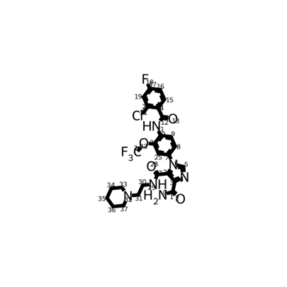 NC(=O)c1ncn(-c2ccc(NC(=O)c3ccc(F)cc3Cl)c(OC(F)(F)F)c2)c1C(=O)NCCN1CCCCC1